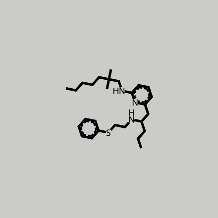 CCCCCC(C)(C)CNc1cccc(CC(CCC)NCCSc2ccccc2)n1